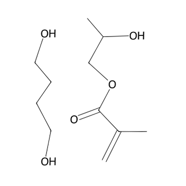 C=C(C)C(=O)OCC(C)O.OCCCCO